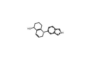 OC1CCCC2=C1C=CCN2c1ccc2c[nH]cc2c1